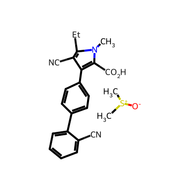 CCc1c(C#N)c(-c2ccc(-c3ccccc3C#N)cc2)c(C(=O)O)n1C.C[S+](C)[O-]